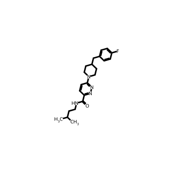 CC(C)CCNC(=O)c1ccc(N2CCC(Cc3ccc(F)cc3)CC2)nn1